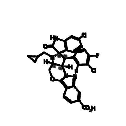 O=C(O)c1ccc2c3n(nc2c1)[C@@H]1[C@H](CO3)N(CC2CC2)[C@@]2(C(=O)Nc3cc(Cl)ccc32)[C@H]1c1ccc(F)c(Cl)c1F